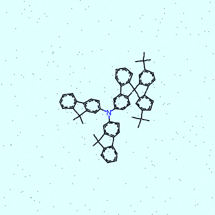 CC(C)(C)c1ccc2c(c1)C1(c3ccccc3-c3cc(N(c4ccc5c(c4)C(C)(C)c4ccccc4-5)c4ccc5c(c4)C(C)(C)c4ccccc4-5)ccc31)c1cc(C(C)(C)C)ccc1-2